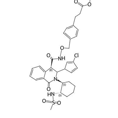 COC(=O)CCc1ccc(CONC(=O)[C@@H]2c3ccccc3C(=O)N([C@H]3CCCC[C@@H]3NS(C)(=O)=O)C2C2C=CC(Cl)=C2)cc1